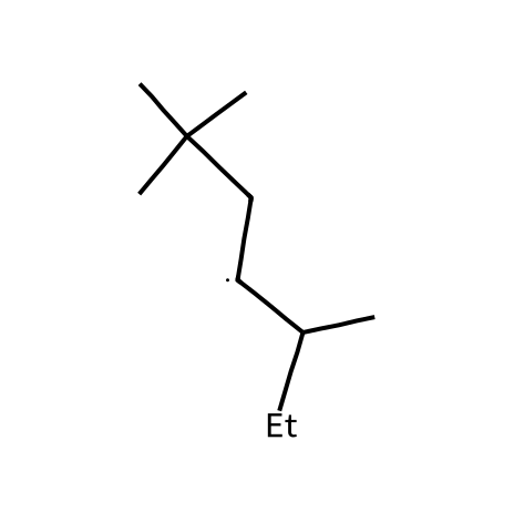 CCC(C)[CH]CC(C)(C)C